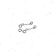 C1=CCN(CCCCCOc2ccccc2)C1.c1ccc(-c2cccc(OCCCCCN3CCCC3)c2)cc1